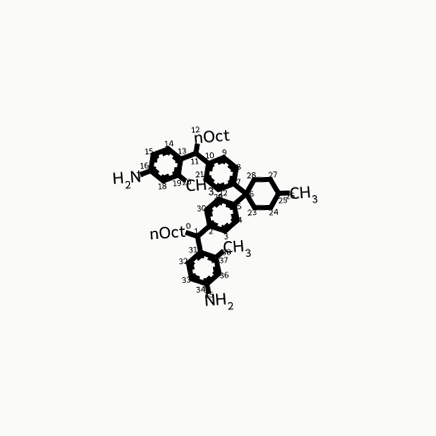 CCCCCCCCC(c1ccc(C2(c3ccc(C(CCCCCCCC)c4ccc(N)cc4C)cc3)CCC(C)CC2)cc1)c1ccc(N)cc1C